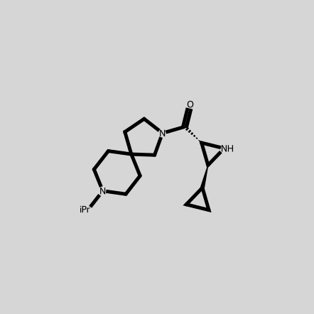 CC(C)N1CCC2(CCN(C(=O)[C@@H]3N[C@H]3C3CC3)C2)CC1